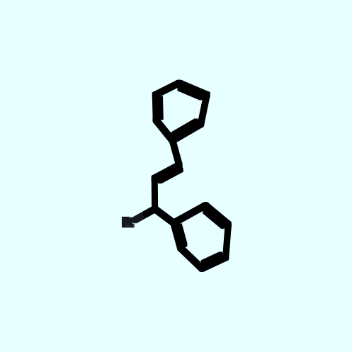 CCC(C=Cc1ccccc1)c1ccccc1